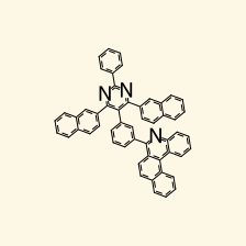 c1ccc(-c2nc(-c3ccc4ccccc4c3)c(-c3cccc(-c4nc5ccccc5c5c4ccc4ccccc45)c3)c(-c3ccc4ccccc4c3)n2)cc1